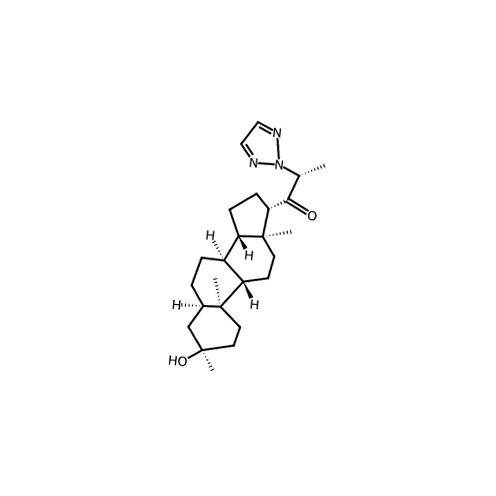 C[C@H](C(=O)[C@H]1CC[C@H]2[C@@H]3CC[C@@H]4C[C@](C)(O)CC[C@]4(C)[C@H]3CC[C@]12C)n1nccn1